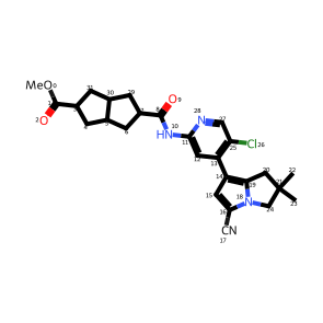 COC(=O)C1CC2CC(C(=O)Nc3cc(-c4cc(C#N)n5c4CC(C)(C)C5)c(Cl)cn3)CC2C1